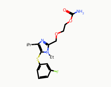 CCn1c(COCCOC(N)=O)nc(C(C)C)c1Sc1cccc(F)c1